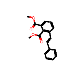 COC(=O)c1cccc(C=Cc2ccccc2)c1C(=O)OC